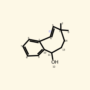 CC1(C)/C=C/c2ccccc2C(O)CC1